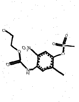 Cc1cc(NC(=O)OCCCl)c([N+](=O)[O-])cc1OS(C)(=O)=O